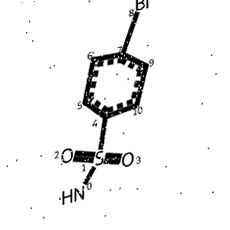 [NH]S(=O)(=O)c1ccc(Br)cc1